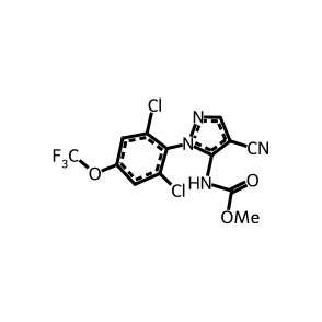 COC(=O)Nc1c(C#N)cnn1-c1c(Cl)cc(OC(F)(F)F)cc1Cl